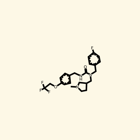 CN1CCC(CN(Cc2ccc(F)cc2)C(=O)NCc2ccc(OCC(F)(F)F)cc2)C1